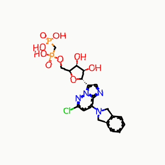 O=P(O)(O)CP(=O)(O)OCC1O[C@@H](c2cnc3c(N4Cc5ccccc5C4)cc(Cl)nn23)[C@H](O)[C@@H]1O